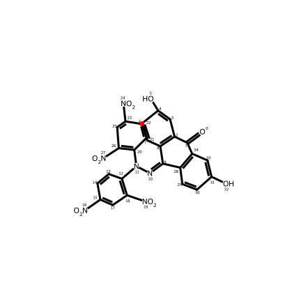 O=C1c2cc(O)ccc2C(=NN(c2ccc([N+](=O)[O-])cc2[N+](=O)[O-])c2ccc([N+](=O)[O-])cc2[N+](=O)[O-])c2ccc(O)cc21